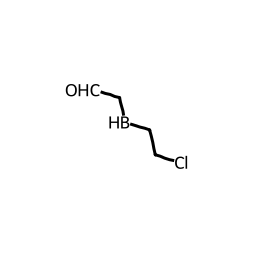 O=CCBCCCl